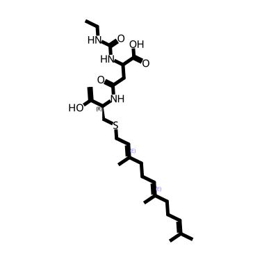 C=C(O)[C@H](CSC/C=C(\C)CC/C=C(\C)CCC=C(C)C)NC(=O)CC(NC(=O)NCC)C(=O)O